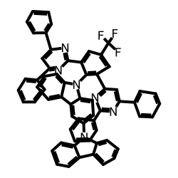 FC(F)(F)c1cc(-c2cc(-c3ccccc3)nc(-c3ccccc3)n2)c(-n2c3ccccc3c3cc(-n4c5ccccc5c5ccccc54)ccc32)c(-c2nc(-c3ccccc3)cc(-c3ccccc3)n2)c1